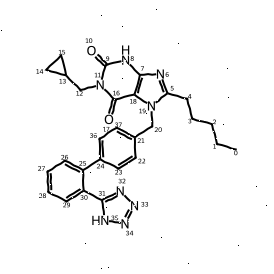 CCCCCc1nc2[nH]c(=O)n(CC3CC3)c(=O)c2n1Cc1ccc(-c2ccccc2-c2nnn[nH]2)cc1